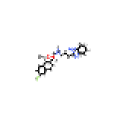 CC(C)[C@H]1c2ccc(F)cc2CC[C@]1(O)CCN(C)CCCc1nc2ccccc2[nH]1